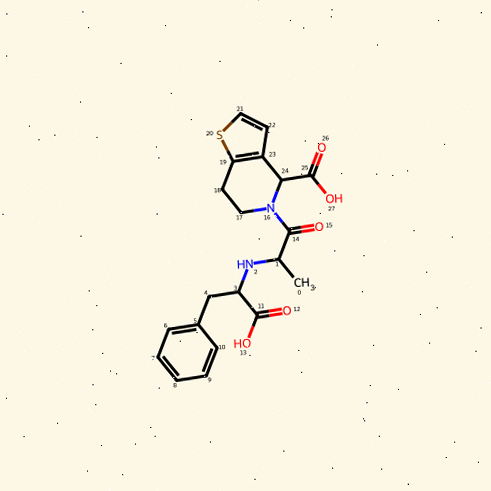 CC(NC(Cc1ccccc1)C(=O)O)C(=O)N1CCc2sccc2C1C(=O)O